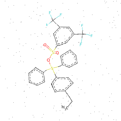 CCc1ccc(S(OS(=O)(=O)c2cc(C(F)(F)F)cc(C(F)(F)F)c2)(c2ccccc2)c2ccccc2)cc1